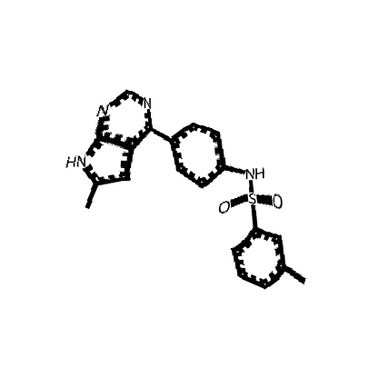 Cc1cccc(S(=O)(=O)Nc2ccc(-c3ncnc4[nH]c(C)cc34)cc2)c1